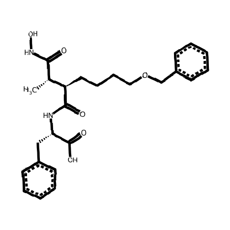 C[C@H](C(=O)NO)[C@@H](CCCCOCc1ccccc1)C(=O)N[C@@H](Cc1ccccc1)C(=O)O